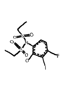 CCS(=O)(=O)N(c1ccc(F)c(I)c1Cl)S(=O)(=O)CC